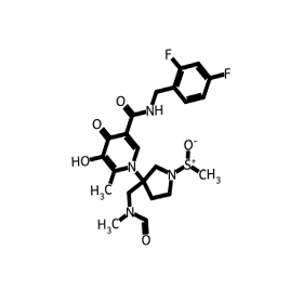 Cc1c(O)c(=O)c(C(=O)NCc2ccc(F)cc2F)cn1C1(CN(C)C=O)CCN([S+](C)[O-])C1